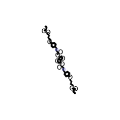 C=CC(=O)OCCCCOc1ccc(/C=C/C(=O)O[C@H]2COC3C2OC[C@H]3OC(=O)/C=C/c2ccc(OCCCCOC(=O)C=C)cc2)cc1